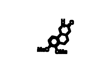 COc1ccc2c(c1OC)CCC1CC(=O)NCC21